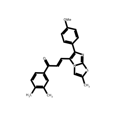 COc1ccc(-c2nc3sc(C)cn3c2C=CC(=O)c2ccc(C)c(C)c2)cc1